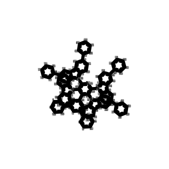 c1ccc(-c2cc(-c3ccccc3)cc(-c3c(-n4c5ccccc5c5ccccc54)c(-n4c5ccc(-c6ccccc6)cc5c5cc(-c6ccccc6)ccc54)nc(-n4c5ccc(-c6ccccc6)cc5c5cc(-c6ccccc6)ccc54)c3-n3c4ccccc4c4ccccc43)c2)cc1